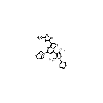 Cc1cc(-c2cnn3c(-c4c(C)nn(-c5cccnc5)c4C)cc(N4CC5CCC(C4)O5)nc23)[nH]n1